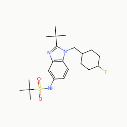 CC(C)(C)c1nc2cc(NS(=O)(=O)C(C)(C)C)ccc2n1CC1CCC(F)CC1